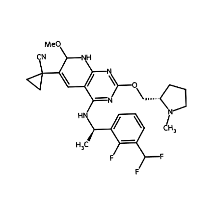 COC1Nc2nc(OC[C@@H]3CCCN3C)nc(N[C@H](C)c3cccc(C(F)F)c3F)c2C=C1C1(C#N)CC1